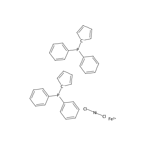 [Cl][Ni][Cl].[Fe+2].c1ccc(P(c2ccccc2)[c-]2cccc2)cc1.c1ccc(P(c2ccccc2)[c-]2cccc2)cc1